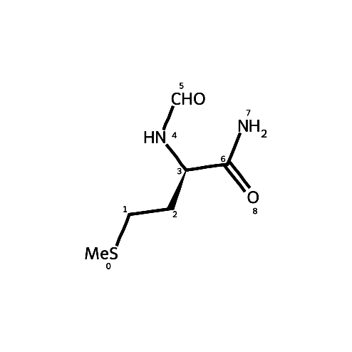 CSCC[C@@H](NC=O)C(N)=O